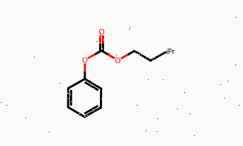 CC(C)CCOC(=O)Oc1ccccc1